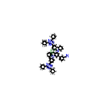 N#Cc1cccc(-c2cc(-n3c4ccccc4c4cc(-c5nc(-c6ccccc6)nc(-c6ccccc6)n5)ccc43)c(C(F)(F)F)c(-n3c4ccccc4c4cc(-c5nc(-c6ccccc6)nc(-c6ccccc6)n5)ccc43)c2)c1